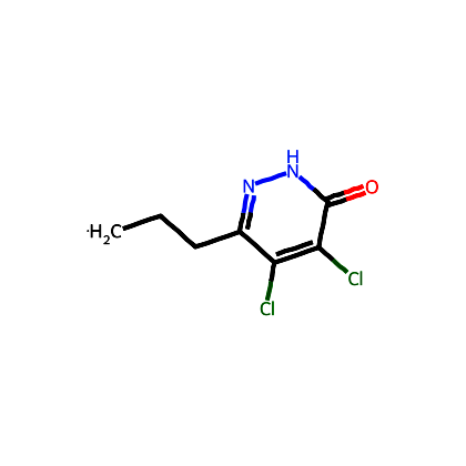 [CH2]CCc1n[nH]c(=O)c(Cl)c1Cl